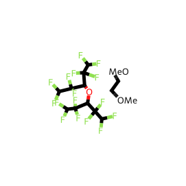 COCCOC.FC(F)C(F)(F)C(OC(C(F)(F)C(F)F)C(F)(F)C(F)F)C(F)(F)C(F)F